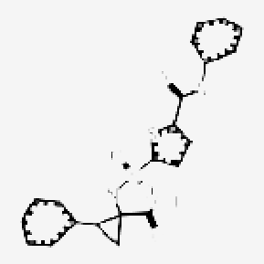 O=C(Nc1ccccc1)c1ccc(S(=O)(=O)NC2(C(=O)O)CC2c2ccccc2)s1